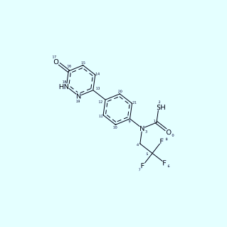 O=C(S)N(CC(F)(F)F)c1ccc(-c2ccc(=O)[nH]n2)cc1